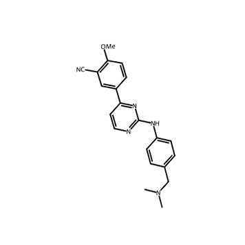 COc1ccc(-c2ccnc(Nc3ccc(CN(C)C)cc3)n2)cc1C#N